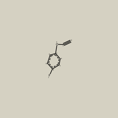 C#COc1ccc(F)cc1